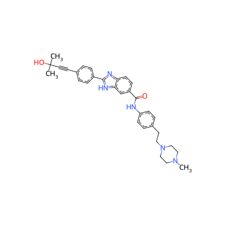 CN1CCN(CCc2ccc(NC(=O)c3ccc4nc(-c5ccc(C#CC(C)(C)O)cc5)[nH]c4c3)cc2)CC1